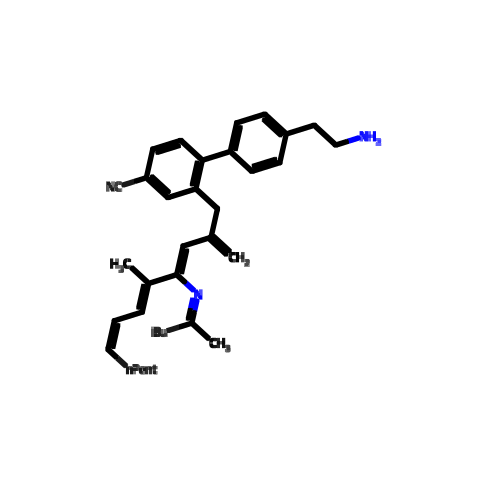 C=C(/C=C(\N=C(\C)C(C)CC)C(/C)=C/C=C\CCCCC)Cc1cc(C#N)ccc1-c1ccc(CCN)cc1